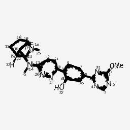 COc1ncnc(-c2ccc(-c3ccc(N(C)C4C(F)C5CC[C@H]4CN5C)nn3)c(O)c2)n1